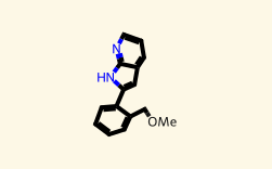 COCc1ccccc1-c1cc2cccnc2[nH]1